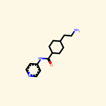 NCCC1CCC(C(=O)Nc2ccncc2)CC1